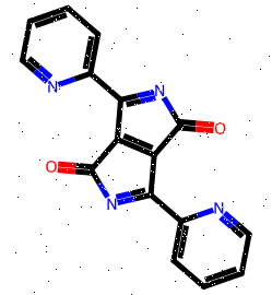 O=c1nc(-c2ccccn2)c2c(=O)nc(-c3ccccn3)c1=2